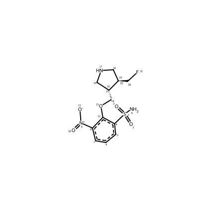 NS(=O)(=O)c1cccc([N+](=O)[O-])c1OC[C@@H]1CNC[C@H]1CF